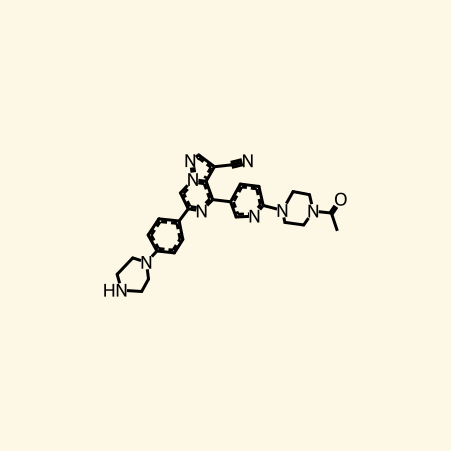 CC(=O)N1CCN(c2ccc(-c3nc(-c4ccc(N5CCNCC5)cc4)cn4ncc(C#N)c34)cn2)CC1